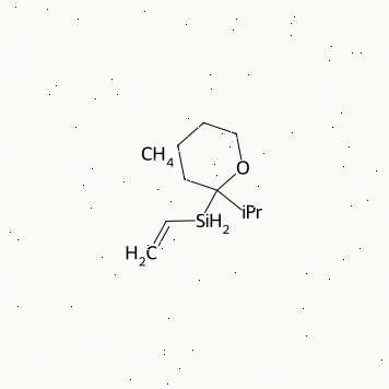 C.C=C[SiH2]C1(C(C)C)CCCCO1